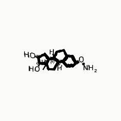 C[C@]12CC[C@@H]3c4ccc(ON)cc4CC[C@H]3[C@@H]1C[C@@H](O)[C@@H]2O